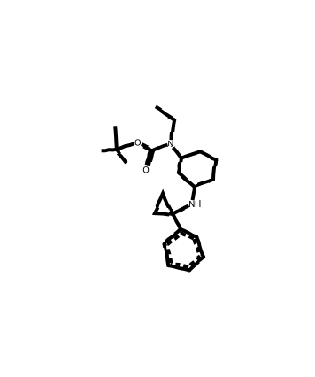 CCN(C(=O)OC(C)(C)C)C1CCCC(NC2(c3ccccc3)CC2)C1